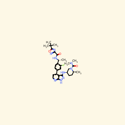 C[C@@H](NC(=O)c1noc(C(C)(C)C)n1)c1ccc(-c2ccnc3[nH]nc(N[C@@H]4CC[C@H](C)N(C(=O)N(C)C)C4)c23)cc1F